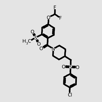 CS(=O)(=O)c1cc(OC(F)F)ccc1C(=O)N1CCC(CS(=O)(=O)c2ccc(Cl)cc2)CC1